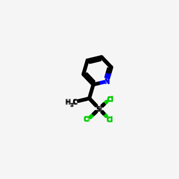 CC(c1ccccn1)[Si](Cl)(Cl)Cl